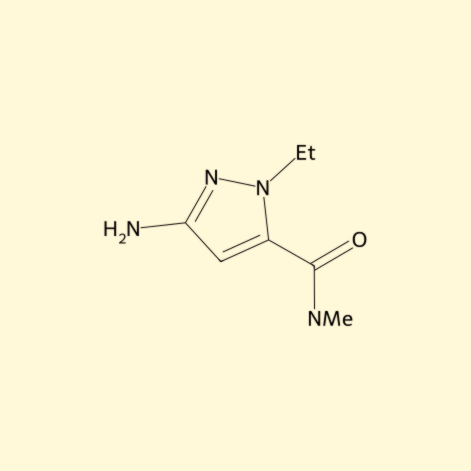 CCn1nc(N)cc1C(=O)NC